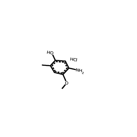 COc1cc(C)c(O)cc1N.Cl